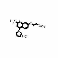 COCCOc1ccc2c(N3CCCC3)cc(C)nc2c1.Cl